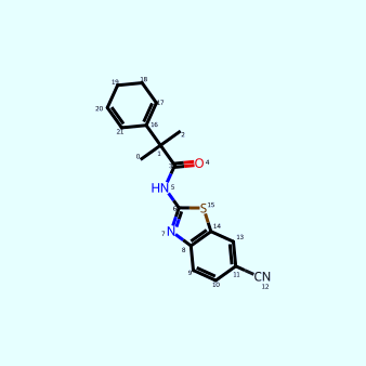 CC(C)(C(=O)Nc1nc2ccc(C#N)cc2s1)C1=CCCC=C1